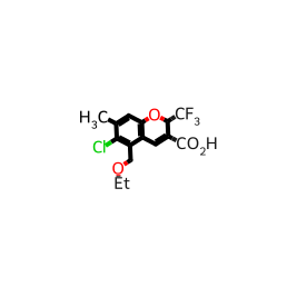 CCOCc1c(Cl)c(C)cc2c1C=C(C(=O)O)C(C(F)(F)F)O2